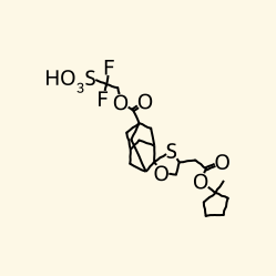 CC1(OC(=O)CC2COC3(S2)C2CC4CC3CC(C(=O)OCC(F)(F)S(=O)(=O)O)(C4)C2)CCCC1